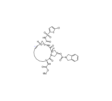 CC(C)(C)OC(=O)N[C@H]1CCCCC/C=C\[C@@H]2C[C@@]2(C(=O)NS(=O)(=O)c2ccc(Cl)s2)NC(=O)[C@@H]2C[C@@H](OC(=O)N3Cc4ccccc4C3)CN2C1=O